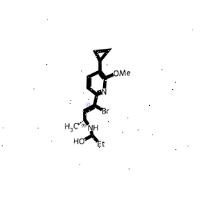 CCC(O)N[C@H](C)/C=C(\Br)c1ccc(C2CC2)c(OC)n1